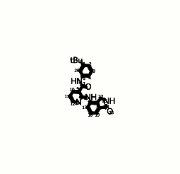 CC(C)(C)c1cccc(NC(=O)c2cccnc2Nc2cccc3c2CNC3=O)c1